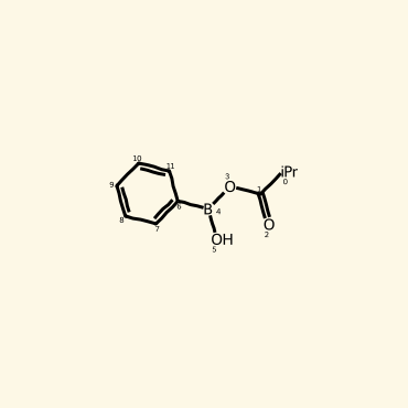 CC(C)C(=O)OB(O)c1ccccc1